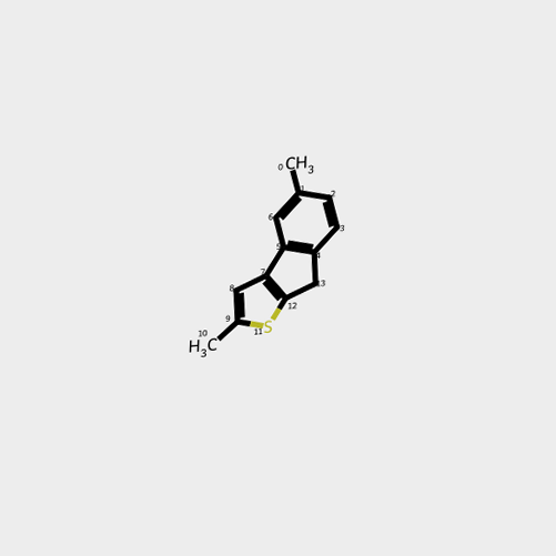 Cc1ccc2c(c1)-c1cc(C)sc1C2